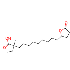 CCC(C)(CCCCCCCCCC1CCC(=O)O1)C(=O)O